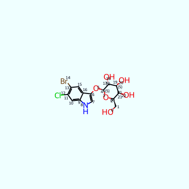 OC[C@H]1O[C@@H](Oc2c[nH]c3cc(Cl)c(Br)cc23)[C@H](O)[C@@H](O)[C@H]1O